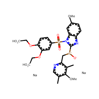 COc1ccc2nc([S+]([O-])Cc3ncc(C)c(OC)c3C)n(S(=O)(=O)c3ccc(OCC(=O)O)c(OCC(=O)O)c3)c2c1.[Na].[Na]